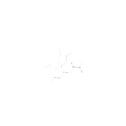 C=C(C)C(=O)OC(CCC)[Si](OCC)(OCC)OCC